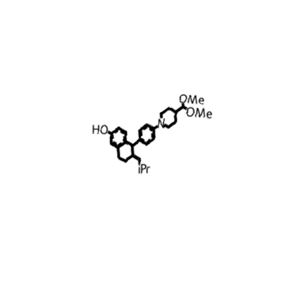 COC(OC)C1CCN(c2ccc(C3c4ccc(O)cc4CCC3CC(C)C)cc2)CC1